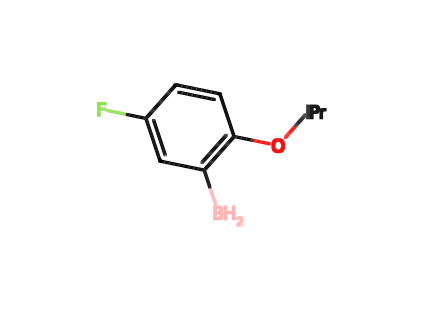 Bc1cc(F)ccc1OC(C)C